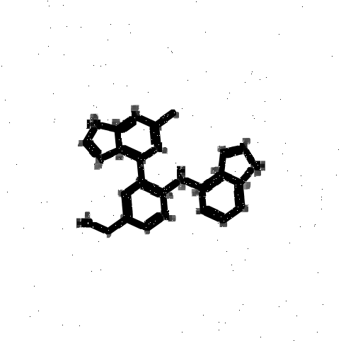 Cc1nc(-c2cc(CO)cnc2Nc2cccc3[nH]ncc23)c2nc[nH]c2n1